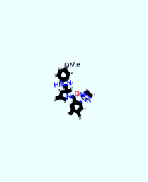 C=C1CN(C(=O)c2cc(C)c(C)cc2-n2nccn2)C(C)(c2nc3cc(OC)ccc3[nH]2)C1